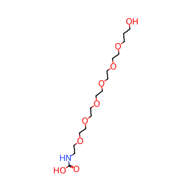 O=C(O)NCCOCCOCCOCCOCCOCCOCCCO